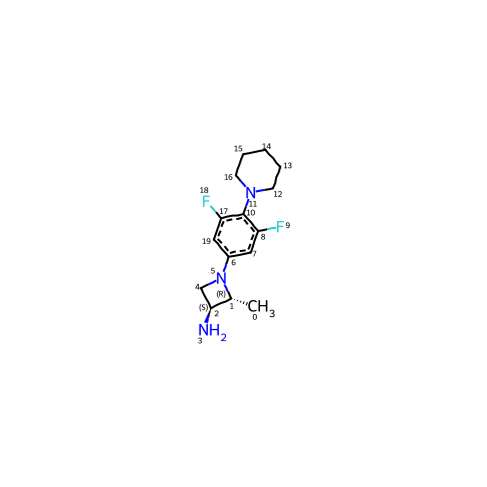 C[C@@H]1[C@@H](N)CN1c1cc(F)c(N2CCCCC2)c(F)c1